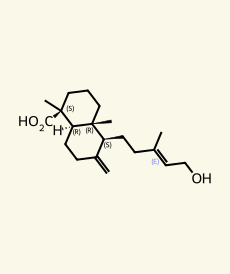 C=C1CC[C@@H]2[C@](C)(CCC[C@]2(C)C(=O)O)[C@H]1CC/C(C)=C/CO